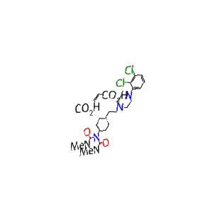 CNC(=O)N(C(=O)NC)C1CCC(CCN2CCN(c3cccc(Cl)c3Cl)CC2)CC1.O=C(O)/C=C\C(=O)O